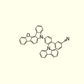 N#Cc1cccc(-c2ccc(-n3c4ccccc4c4c5oc6ccccc6c5ccc43)cc2-n2c3ccccc3c3ccccc32)c1